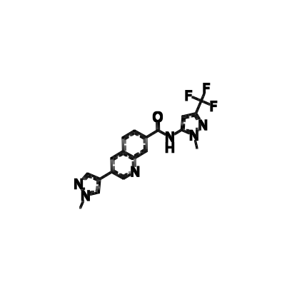 Cn1cc(-c2cnc3cc(C(=O)Nc4cc(C(F)(F)F)nn4C)ccc3c2)cn1